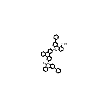 CN(c1ccc2c3ccccc3c3cc(-n4c(=O)c5ccccc5c5cc(-c6ccccc6)ccc54)ccc3c2c1)c1ccc(-c2ccccc2)cc1-c1ccccc1C=O